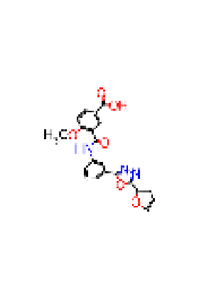 COc1ccc(C(=O)O)cc1C(=O)Nc1cccc(-c2nnc(-c3ccco3)o2)c1